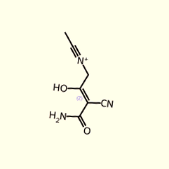 CC#[N+]C/C(O)=C(\C#N)C(N)=O